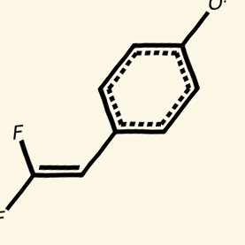 [O]c1ccc(C=C(F)F)cc1